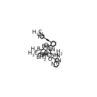 B=C(/C(B)=C(B)\C(B)=C(\B)C)n1c(C(C)NC(=O)c2c(N)nn3cccnc23)nc2cccc(C#Cc3cnn(C)c3)c2c1=O